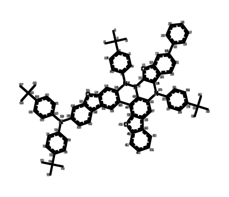 CC(C)(C)c1ccc(N2B3c4oc5cc(-c6ccccc6)ccc5c4N(c4ccc(C(C)(C)C)cc4)c4cc5c(oc6ccccc65)c(c43)-c3cc4c(cc32)oc2cc(N(c3ccc(C(C)(C)C)cc3)c3ccc(C(C)(C)C)cc3)ccc24)cc1